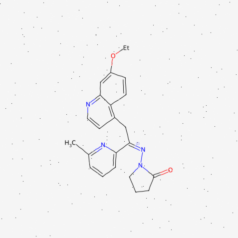 CCOc1ccc2c(C/C(=N/N3CCCC3=O)c3cccc(C)n3)ccnc2c1